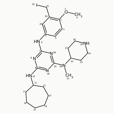 COc1ccc(Nc2nc(NC3CCCCCC3)nc(N(C)C3CCNCC3)n2)cc1CI